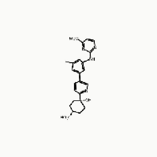 COc1ccnc(Nc2cc(C)cc(-c3ccc([C@]4(O)CC[C@H](C(=O)O)CC4)nc3)c2)n1